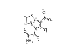 NC(=O)C(=O)c1c(Cl)c(C(=O)Cl)c2n1CCC2